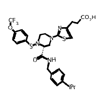 CC(C)c1ccc(CNC(=O)[C@H]2CN(c3nc(CCC(=O)O)cs3)CCN2Sc2ccc(OC(F)(F)F)cc2)cc1